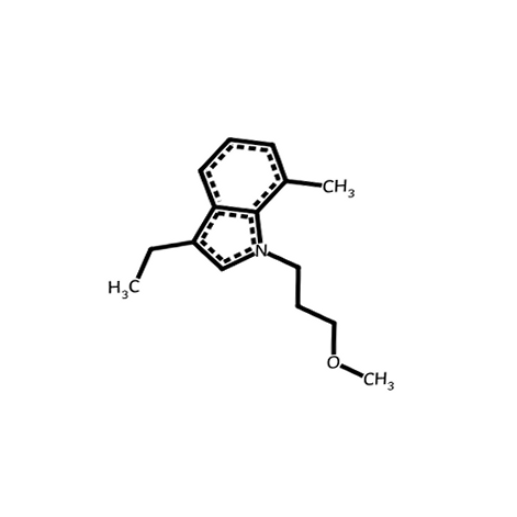 CCc1cn(CCCOC)c2c(C)cccc12